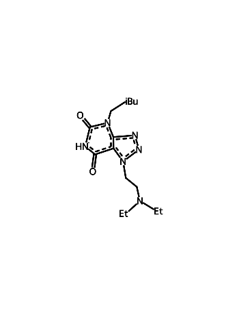 CCC(C)Cn1c(=O)[nH]c(=O)c2c1nnn2CCN(CC)CC